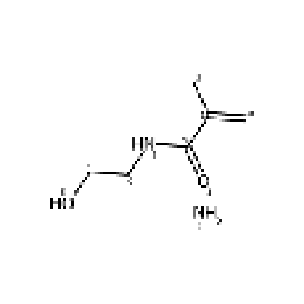 C=C(C)C(=O)NCCO.N